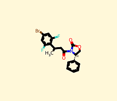 CC(CC(=O)N1C(=O)OC[C@@H]1c1ccccc1)c1c(F)cc(Br)cc1F